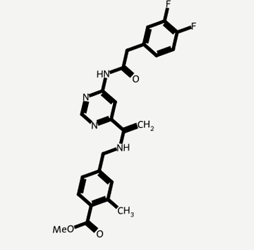 C=C(NCc1ccc(C(=O)OC)c(C)c1)c1cc(NC(=O)Cc2ccc(F)c(F)c2)ncn1